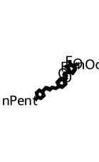 CCCCCCCCOc1ccc(C(=O)Oc2ccc(CCC=CC3CCC(CCCCC)CC3)cc2)c(F)c1F